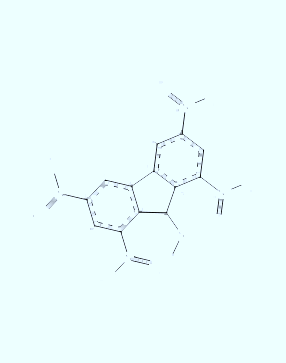 CNC1c2c(cc([N+](=O)[O-])cc2[N+](=O)[O-])-c2cc([N+](=O)[O-])cc([N+](=O)[O-])c21